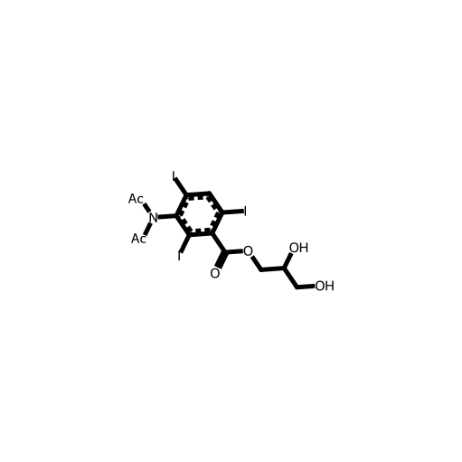 CC(=O)N(C(C)=O)c1c(I)cc(I)c(C(=O)OCC(O)CO)c1I